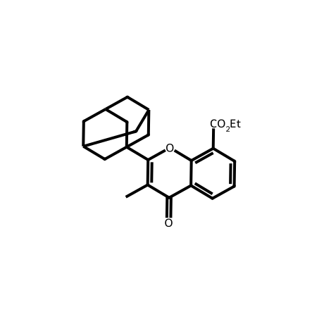 CCOC(=O)c1cccc2c(=O)c(C)c(C34CC5CC(CC(C5)C3)C4)oc12